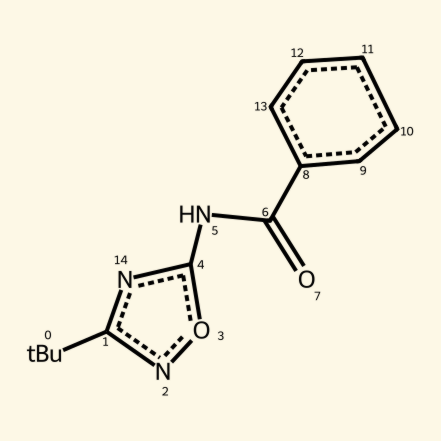 CC(C)(C)c1noc(NC(=O)c2ccccc2)n1